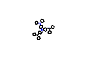 CC1(N(c2ccc(C(c3ccccc3)c3ccccc3)cc2)c2ccc(N(C3=CC=CCC3)c3ccccc3)cc2)C=CC(/C=C(/C2=CCCCC2)c2ccccc2)CC1